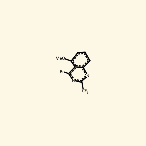 COc1cccc2nc(C(F)(F)F)nc(Br)c12